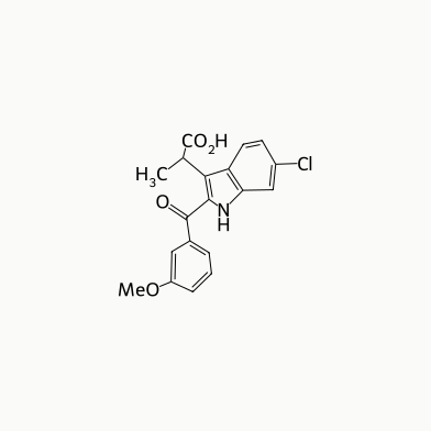 COc1cccc(C(=O)c2[nH]c3cc(Cl)ccc3c2C(C)C(=O)O)c1